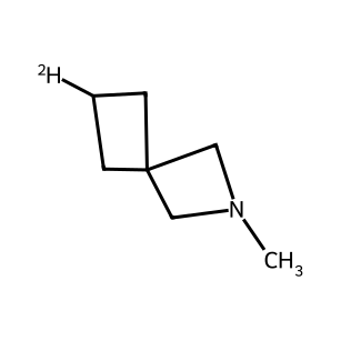 [2H]C1CC2(C1)CN(C)C2